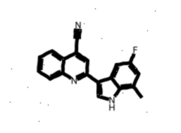 Cc1cc(F)cc2c(-c3cc(C#N)c4ccccc4n3)c[nH]c12